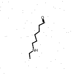 CCNCCCCC[C]=O